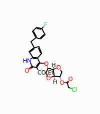 CCOC(=O)c1c(O[C@H]2CO[C@H]3[C@@H]2OC[C@@H]3OC(=O)CCl)c2ccc(Cc3ccc(F)cc3)cc2[nH]c1=O